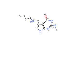 CCCCNCc1c[nH]c2nc(NC)[nH]c(=O)c12